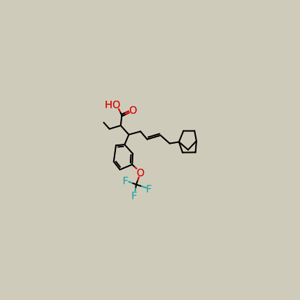 CCC(C(=O)O)C(CC=CCC12CCC(CC1)C2)c1cccc(OC(F)(F)F)c1